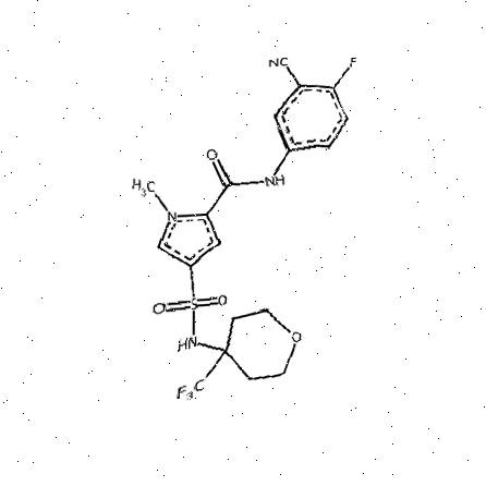 Cn1cc(S(=O)(=O)NC2(C(F)(F)F)CCOCC2)cc1C(=O)Nc1ccc(F)c(C#N)c1